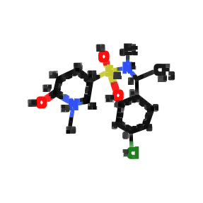 CCN(C(c1ccc(Cl)cc1)C(F)(F)F)S(=O)(=O)c1ccc(=O)n(C)c1